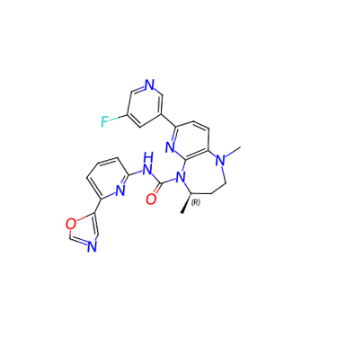 C[C@@H]1CCN(C)c2ccc(-c3cncc(F)c3)nc2N1C(=O)Nc1cccc(-c2cnco2)n1